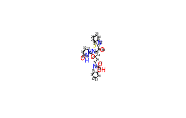 O=C(N[C@@H](CCCCN(Cc1ccccc1)C(=O)O)C(=O)c1nc2ccccc2s1)c1cccc(=O)[nH]1